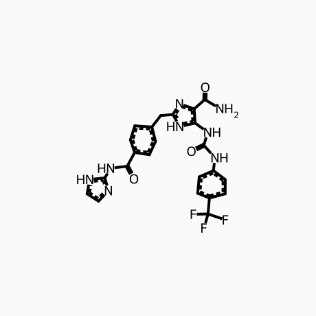 NC(=O)c1nc(Cc2ccc(C(=O)Nc3ncc[nH]3)cc2)[nH]c1NC(=O)Nc1ccc(C(F)(F)F)cc1